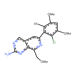 CCc1c(OC)cc(OC)c(Cl)c1-c1cc2cnc(N)nc2c(COC)n1